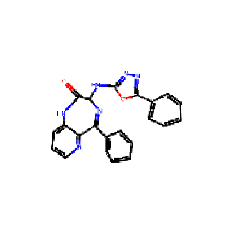 O=C1Nc2cccnc2C(c2ccccc2)=NC1Nc1nnc(-c2ccccc2)o1